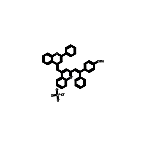 COc1ccc(C(=Cc2cc(C=C3C=C(c4ccccc4)Oc4ccccc43)c3ccccc3[o+]2)c2ccccc2)cc1.[O-][Cl+3]([O-])([O-])[O-]